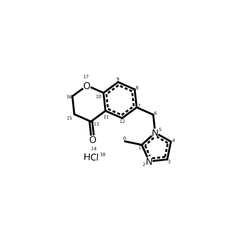 Cc1nccn1Cc1ccc2c(c1)C(=O)CCO2.Cl